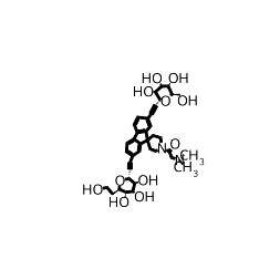 CN(C)CC(=O)N1CCC2(CC1)c1cc(C#C[C@H]3O[C@H](CO)[C@@H](O)[C@H](O)[C@@H]3O)ccc1-c1ccc(C#C[C@H]3O[C@H](CCO)[C@@H](O)[C@H](O)[C@@H]3O)cc12